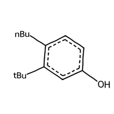 CCCCc1ccc(O)cc1C(C)(C)C